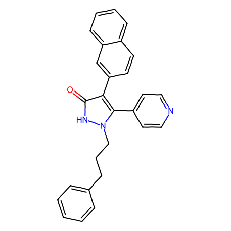 O=c1[nH]n(CCCc2ccccc2)c(-c2ccncc2)c1-c1ccc2ccccc2c1